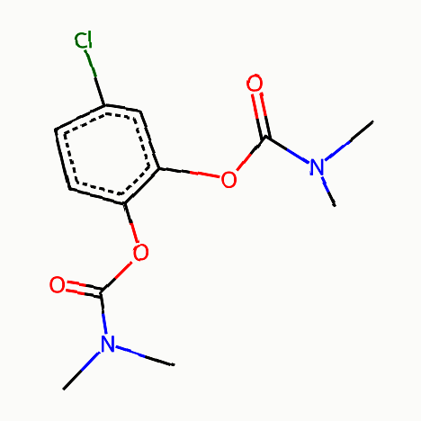 CN(C)C(=O)Oc1ccc(Cl)cc1OC(=O)N(C)C